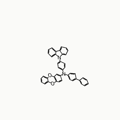 c1ccc(-c2ccc(N(c3ccc(-n4c5ccccc5c5ccccc54)cc3)c3ccc4c(c3)Oc3ccccc3O4)cc2)cc1